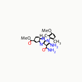 COC(=O)c1ccc2nc3c(nc2c1)c(C(N)=O)c(N)n3-c1c(C)ccc(OC)c1C